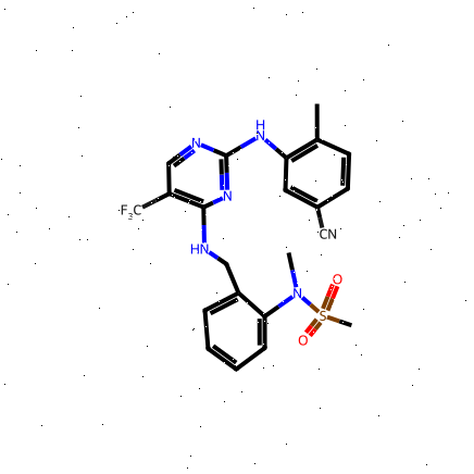 Cc1ccc(C#N)cc1Nc1ncc(C(F)(F)F)c(NCc2ccccc2N(C)S(C)(=O)=O)n1